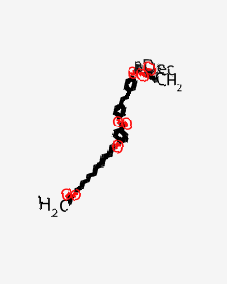 C=CC(=O)OCCCCCCCCCCCOc1ccc(C(=O)Oc2ccc(CCc3ccc(OC(CCCCCCCCCC)OC(=O)C=C)cc3)cc2)cc1